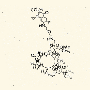 CC[C@H]1OC(=O)[C@H](C)[C@@H](O[C@H]2C[C@@](C)(OC)[C@@H](OCCNCCOCCNc3cc4c(cc3F)c(=O)c(C(=O)O)cn4C3CC3)[C@H](C)O2)[C@H](C)[C@@H](O[C@@H]2O[C@H](C)C[C@H](N(C)C)[C@H]2O)[C@](C)(O)C[C@@H](C)CN(C)[C@H](C)[C@H]2OC(=O)O[C@@]21C